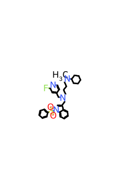 CN(CCCCN(Cc1ccnc(F)c1)Cc1cn(S(=O)(=O)c2ccccc2)c2ccccc12)C1CCCCC1